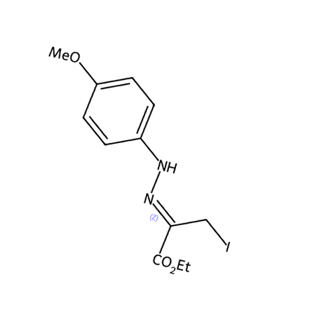 CCOC(=O)/C(CI)=N/Nc1ccc(OC)cc1